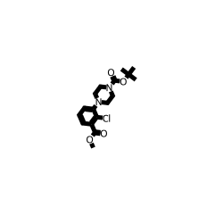 COC(=O)c1cccc(N2CCN(C(=O)OC(C)(C)C)CC2)c1Cl